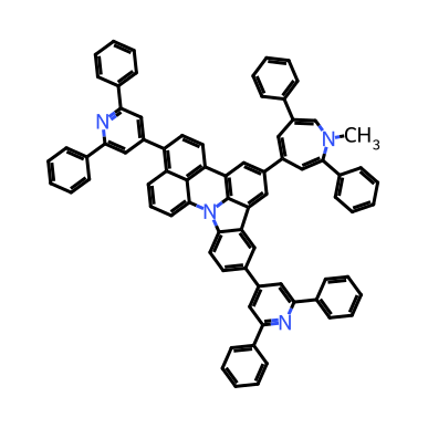 CN1C=C(c2ccccc2)C=C(c2cc3c4ccc(-c5cc(-c6ccccc6)nc(-c6ccccc6)c5)c5cccc(c54)n4c5ccc(-c6cc(-c7ccccc7)nc(-c7ccccc7)c6)cc5c(c2)c34)C=C1c1ccccc1